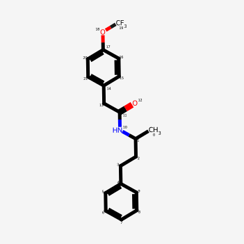 CC(CCc1ccccc1)NC(=O)Cc1ccc(OC(F)(F)F)cc1